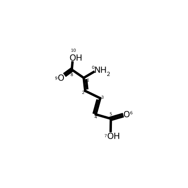 NC(=CC=CC(=O)O)C(=O)O